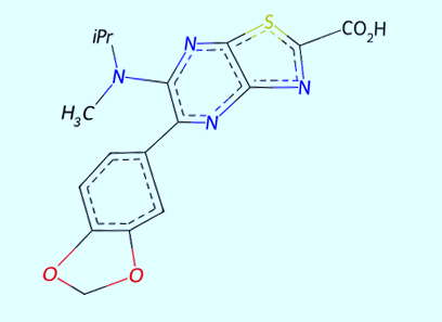 CC(C)N(C)c1nc2sc(C(=O)O)nc2nc1-c1ccc2c(c1)OCO2